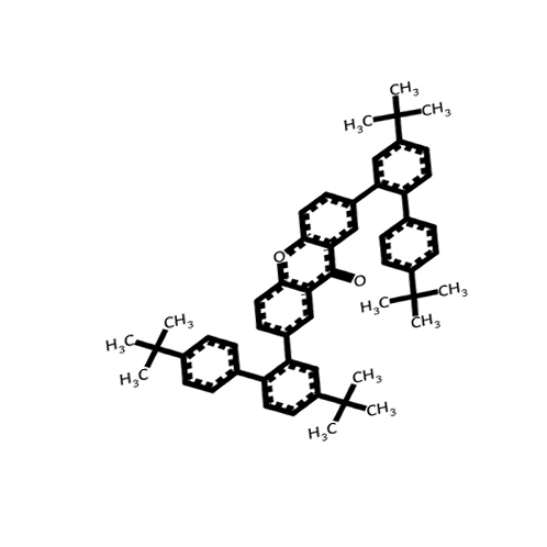 CC(C)(C)c1ccc(-c2ccc(C(C)(C)C)cc2-c2ccc3oc4ccc(-c5cc(C(C)(C)C)ccc5-c5ccc(C(C)(C)C)cc5)cc4c(=O)c3c2)cc1